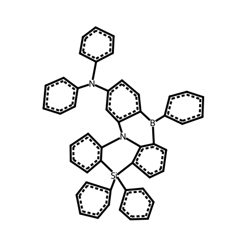 c1ccc(B2c3ccc(N(c4ccccc4)c4ccccc4)cc3N3c4ccccc4[Si](c4ccccc4)(c4ccccc4)c4cccc2c43)cc1